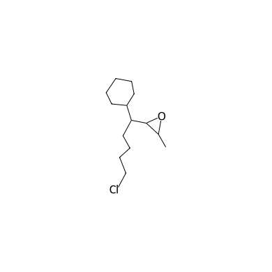 CC1OC1C(CCCCCl)C1CCCCC1